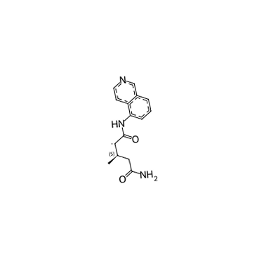 C[C@@H]([CH]C(=O)Nc1cccc2cnccc12)CC(N)=O